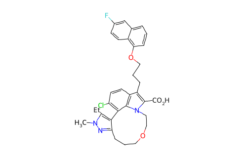 CCc1c2c(nn1C)CCCOCCn1c(C(=O)O)c(CCCOc3cccc4cc(F)ccc34)c3ccc(Cl)c-2c31